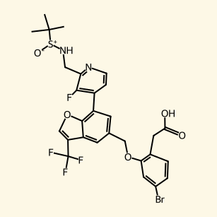 CC(C)(C)[S+]([O-])NCc1nccc(-c2cc(COc3cc(Br)ccc3CC(=O)O)cc3c(C(F)(F)F)coc23)c1F